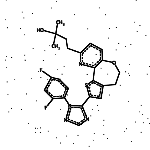 CC(C)(O)CCc1ccc2c(n1)-c1sc(-c3ncnn3-c3ccc(F)cc3F)cc1CCO2